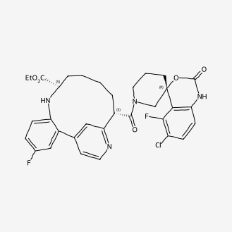 CCOC(=O)[C@@H]1CCCC[C@H](C(=O)N2CCC[C@@]3(C2)OC(=O)Nc2ccc(Cl)c(F)c23)c2cc(ccn2)-c2cc(F)ccc2N1